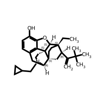 C=C([C@H]1C[C@@]23CC[C@]1(CC)[C@@H]1Oc4c(O)ccc5c4[C@@]12CCN(CC1CC1)[C@@H]3C5)C(C)(C)C